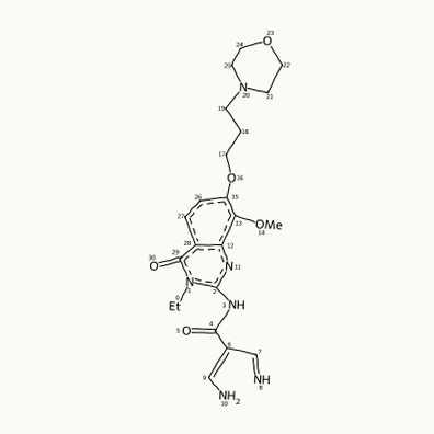 CCn1c(NC(=O)/C(C=N)=C/N)nc2c(OC)c(OCCCN3CCOCC3)ccc2c1=O